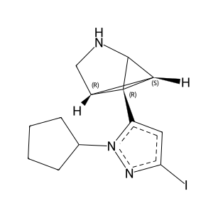 Ic1cc([C@]23C4NC[C@@H]2[C@H]43)n(C2CCCC2)n1